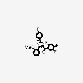 COc1ccccc1C1NC(c2ccc(F)cc2)=NN1C(=O)c1cc(F)c(F)cc1F